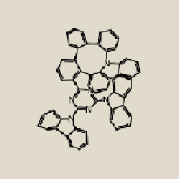 c1ccc2c(c1)c1cccc(-c3nc(-n4c5ccccc5c5ccccc54)nc(-n4c5ccccc5c5ccccc54)n3)c1c1cccc3c4ccccc4n(c4ccccc24)c31